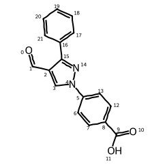 O=Cc1cn(-c2ccc(C(=O)O)cc2)nc1-c1ccccc1